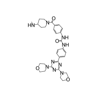 CNC1CCN(C(=O)c2ccc(NC(=O)Nc3ccc(-c4nc(N5CCOCC5)nc(N5CCOCC5)n4)cc3)cc2)CC1